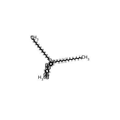 CCCCCCCCCCCCCCCCCCOc1ccc(S(=O)(=O)N=C2C=CC(=NS(C)(=O)=O)C=C2)cc1OCCCCCCCCCCCCCCCCCC